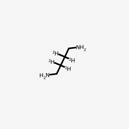 [2H]C([2H])(CN)C([2H])([2H])CN